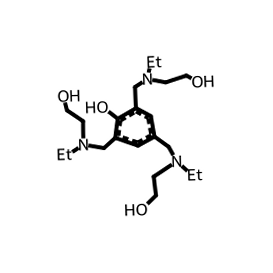 CCN(CCO)Cc1cc(CN(CC)CCO)c(O)c(CN(CC)CCO)c1